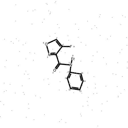 CCN(C(=O)c1nocc1F)c1ccccc1